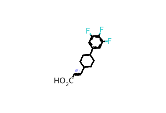 O=C(O)/C=C/C1CCC(c2cc(F)c(F)c(F)c2)CC1